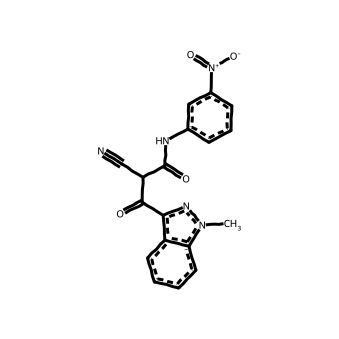 Cn1nc(C(=O)C(C#N)C(=O)Nc2cccc([N+](=O)[O-])c2)c2ccccc21